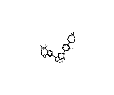 Cc1cc(-c2cnc3[nH]cc(-c4ccc5c(c4)OCCN(C)C5=O)c3c2)ccc1C1CCN(C)CC1